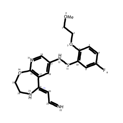 COCCOc1ccc(F)cc1SNc1cnc2c(c1)/C(=C/C=N)NCCO2